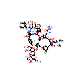 CCCCCCCCNC(=O)NC(=O)C[C@@H]1CC(=O)[C@H](NC(=O)[C@@H](CC(C)C)NC)[C@H](O)c2ccc(c(Cl)c2)Oc2cc3cc(c2OC2OC(CO)C(O)C(O)C2OC2CC(C)(N)C(O)C(C)O2)Oc2ccc(cc2Cl)[C@@H](O)[C@@H]2NC(=O)[C@H](CC(=O)[C@@H]3NC1=O)c1ccc(O)c(c1)-c1c(O)cc(O)cc1[C@@H](C(=O)CC1C3CC4CC(C3)CC1C4)NC2=O